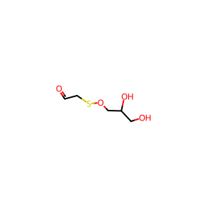 O=CCSOCC(O)CO